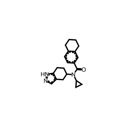 O=C(c1ccc2c(c1)CCCC2)N(C1CC1)C1CCc2[nH]ncc2C1